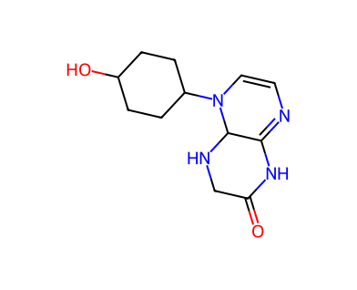 O=C1CNC2C(=NC=CN2C2CCC(O)CC2)N1